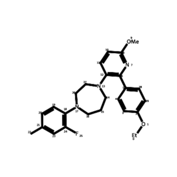 CCOc1ccc(-c2nc(OC)ccc2N2CCCN(c3ccc(C)cc3F)CC2)cc1